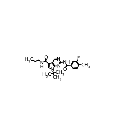 CCCNC(=O)c1cn(C(C)(C)C)c2nc(NC(=O)c3ccc(C)c(F)c3)ncc12